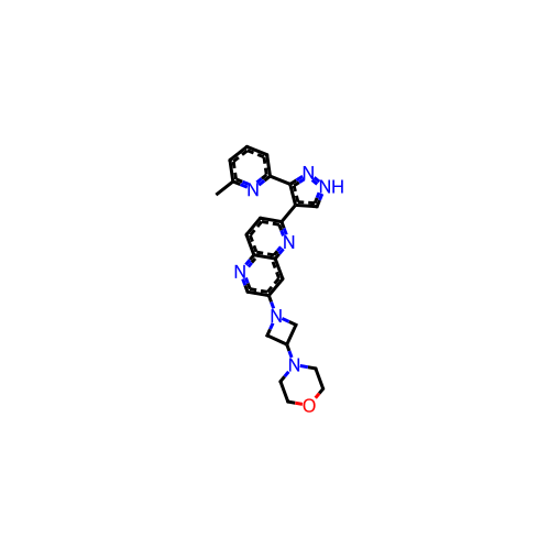 Cc1cccc(-c2n[nH]cc2-c2ccc3ncc(N4CC(N5CCOCC5)C4)cc3n2)n1